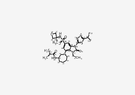 CCn1c(=O)n(-c2nnc(C(F)F)s2)c2cc(S(=O)(=O)NC3(C)COC3)cc(N3CCCCC(NC(=O)C(C)C)C3)c21